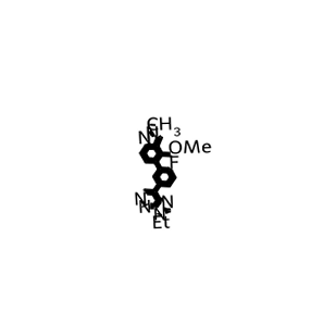 CCn1cnc2c(-c3ccc(F)c(-c4ccc5nn(C)cc5c4COC)c3)cnnc21